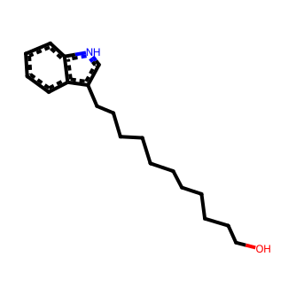 OCCCCCCCCCCCc1c[nH]c2ccccc12